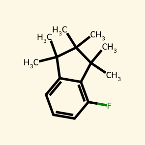 CC1(C)c2cccc(F)c2C(C)(C)C1(C)C